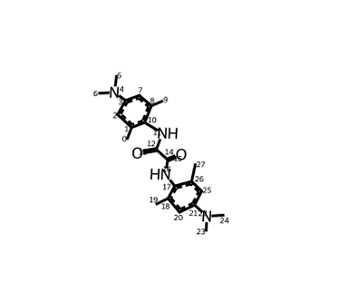 Cc1cc(N(C)C)cc(C)c1NC(=O)C(=O)Nc1c(C)cc(N(C)C)cc1C